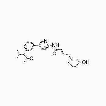 CC(=O)C(c1cccc(-c2ccc(NC(=O)/C=C/CN3CCCC(O)C3)nc2)c1)C(C)C